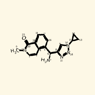 Cn1ccc2c([C@H](N)c3cn(C4CC4)nn3)cccc2c1=O